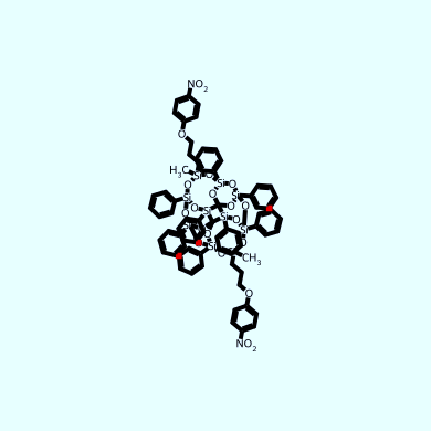 C[Si]1(CCCOc2ccc([N+](=O)[O-])cc2)O[Si]2(c3ccccc3)OC34O[Si](c5ccccc5)(O2)O[Si]2(c5ccccc5)O[Si](C)(CCCOc5ccc([N+](=O)[O-])cc5)O[Si]5(c6ccccc6)OC6(O[Si](c7ccccc7)(O5)O[Si](c5ccccc5)(O1)O[Si]63c1ccccc1)[Si]4(c1ccccc1)O2